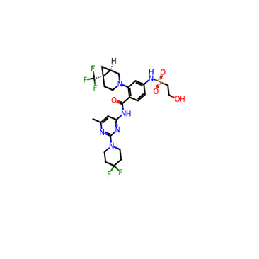 Cc1cc(NC(=O)c2ccc(NS(=O)(=O)CCO)cc2N2CC[C@@]3(C(F)(F)F)C[C@H]3C2)nc(N2CCC(F)(F)CC2)n1